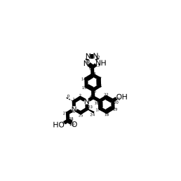 C[C@@H]1CN(C(c2ccc(-c3nnn[nH]3)cc2)c2cccc(O)c2)[C@@H](C)CN1CC(=O)O